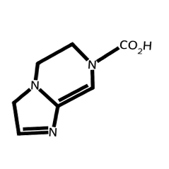 O=C(O)N1C=C2N=CCN2CC1